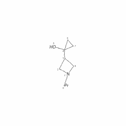 CC(C)N1CC(C2(O)CC2)C1